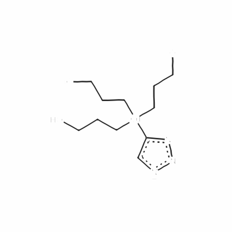 OCC[CH2][Cu]([CH2]CCO)([CH2]CCO)[c]1c[nH]nn1